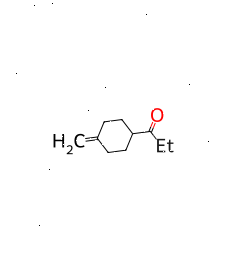 C=C1CCC(C(=O)CC)CC1